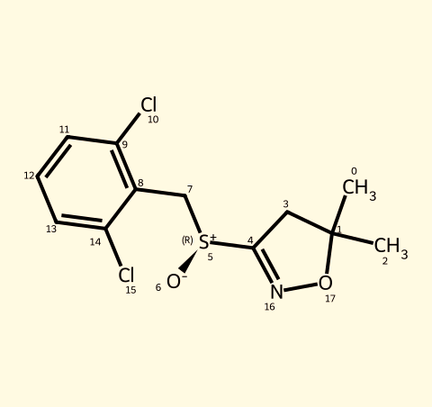 CC1(C)CC([S@@+]([O-])Cc2c(Cl)cccc2Cl)=NO1